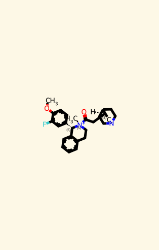 COc1ccc([C@H]2c3ccccc3CC[N@+]2(C)C(=O)C[C@@H]2CN3CCC2CC3)cc1F